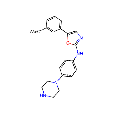 COc1cccc(-c2cnc(Nc3ccc(N4CCNCC4)cc3)o2)c1